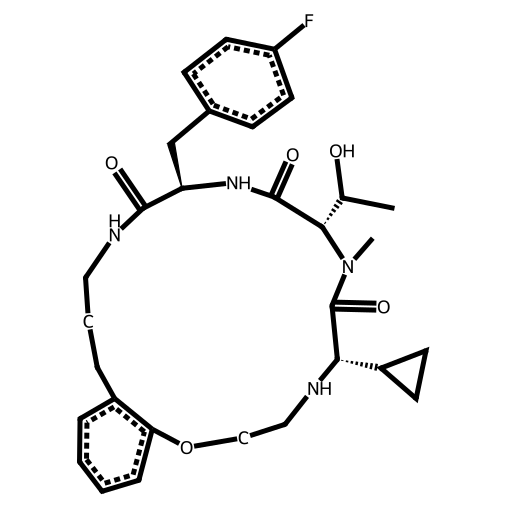 CC(O)[C@H]1C(=O)N[C@H](Cc2ccc(F)cc2)C(=O)NCCCc2ccccc2OCCN[C@@H](C2CC2)C(=O)N1C